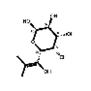 CC(C)=C(O)[C@@H]1O[C@@H](O)[C@@H](O)[C@H](O)[C@@H]1O